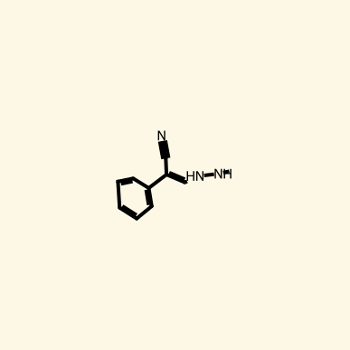 CNN/C=C(\C#N)c1ccccc1